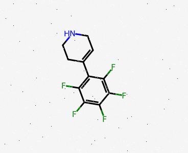 Fc1c(F)c(F)c(C2=CCNCC2)c(F)c1F